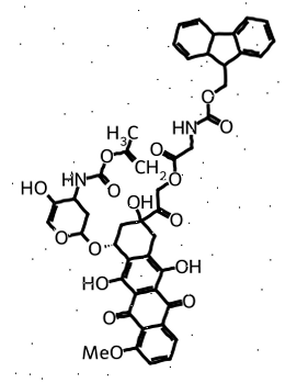 C=C(C)OC(=O)NC1CC(O[C@@H]2CC(O)(C(=O)COC(=O)CNC(=O)OCC3c4ccccc4C4C=CC=CC43)Cc3c(O)c4c(c(O)c32)C(=O)c2c(OC)cccc2C4=O)OC=C1O